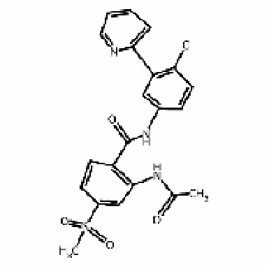 CC(=O)Nc1cc(S(C)(=O)=O)ccc1C(=O)Nc1ccc(Cl)c(-c2ccccn2)c1